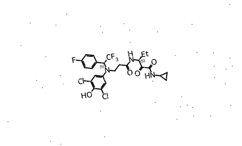 CC[C@H](NC(=O)CCN(c1cc(Cl)c(O)c(Cl)c1)[C@@H](c1ccc(F)cc1)C(F)(F)F)C(=O)C(=O)NC1CC1